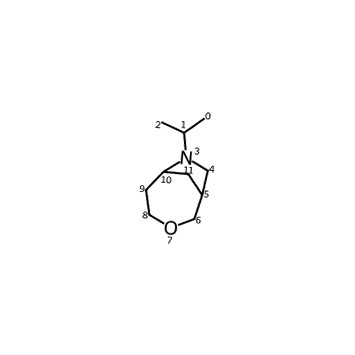 CC(C)N1CC2COCCC1C2